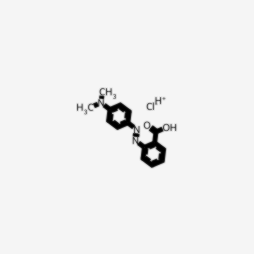 CN(C)c1ccc(N=Nc2ccccc2C(=O)O)cc1.[Cl-].[H+]